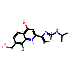 CC(C)Nc1nc(-c2cc(O)c3ccc(CO)c(F)c3n2)cs1